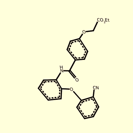 CCOC(=O)COc1ccc(C(=O)Nc2ccccc2Oc2ccccc2C#N)cc1